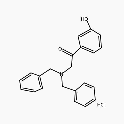 Cl.O=C(CN(Cc1ccccc1)Cc1ccccc1)c1cccc(O)c1